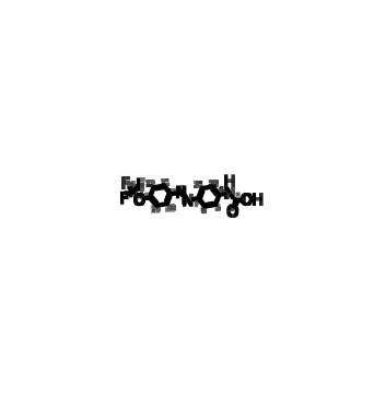 O=C(O)Nc1ccc(N=Nc2ccc(OC(F)(F)F)cc2)cc1